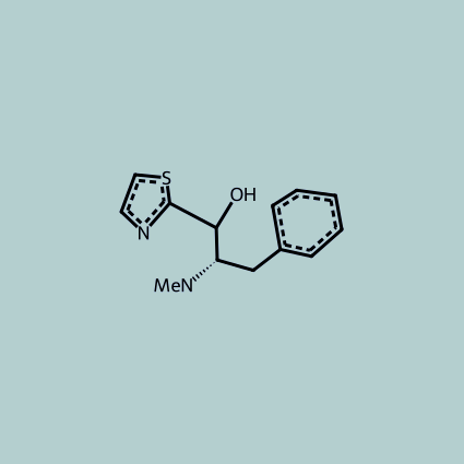 CN[C@@H](Cc1ccccc1)C(O)c1nccs1